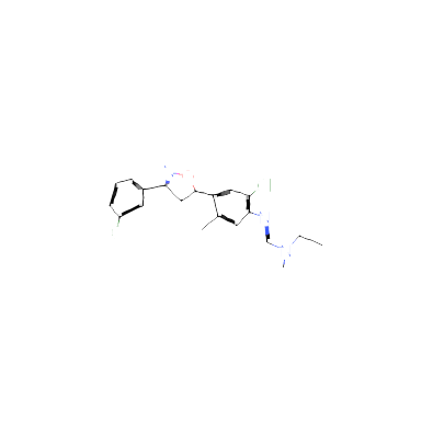 CCN(C)C=Nc1cc(C)c(C2CC(c3cccc(Cl)c3)=NO2)cc1Cl